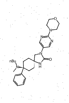 CCCCN(C)[C@]1(c2ccccc2)CC[C@]2(CC1)CN(c1cnc(N3CCOCC3)nc1)C(=O)N2